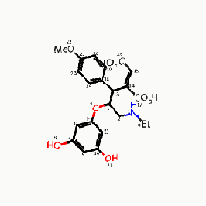 CCNCC(Oc1cc(O)cc(O)c1)C(/C(=C\C(=O)O)C(=O)O)c1ccc(OC)cc1